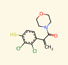 C=C(C(=O)N1CCOCC1)c1ccc(S)c(Cl)c1Cl